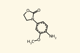 COc1cc(N2CCOC2=O)ccc1N